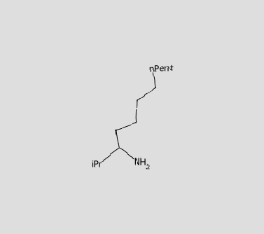 CCCCCCCCCC(N)C(C)C